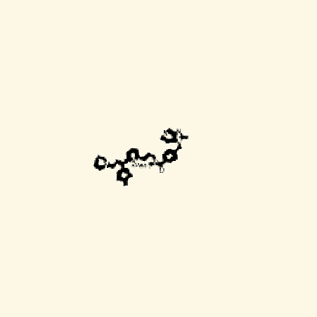 CCCCCN(C/C=C/c1cccc(/C(=C/CN2CCCC2)c2ccc(C)cc2)n1)C(=O)c1ccc(Cn2c(C)nc3cnccc32)cc1